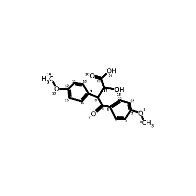 COc1ccc(C(=O)C(c2ccc(OC)cc2)C(O)C(=O)O)cc1